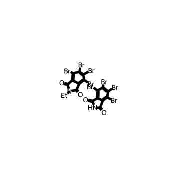 CCN1C(=O)c2c(Br)c(Br)c(Br)c(Br)c2C1=O.O=C1NC(=O)c2c(Br)c(Br)c(Br)c(Br)c21